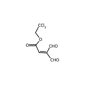 O=CC(C=O)=CC(=O)OCC(Cl)(Cl)Cl